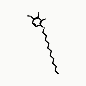 CCCCCCCCCCCCOc1ccc(O)c(F)c1F